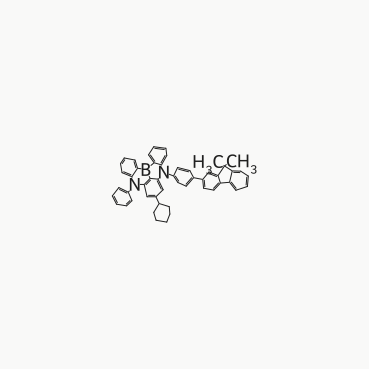 CC1(C)c2ccccc2-c2ccc(-c3ccc(N4c5ccccc5B5c6ccccc6N(c6ccccc6)c6cc(C7CCCCC7)cc4c65)cc3)cc21